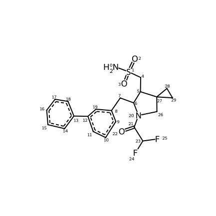 NS(=O)(=O)CC1C(Cc2cccc(-c3ccccc3)c2)N(C(=O)C(F)F)CC12CC2